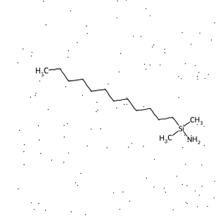 CCCCCCCCCCCC[Si](C)(C)N